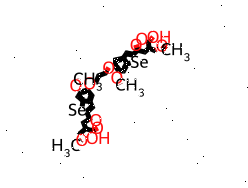 COCC(CC(=O)c1cc2cc(OCCCOc3cc4cc(C(=O)CC(COC)C(=O)O)[se]c4cc3OC)c(OC)cc2[se]1)C(=O)O